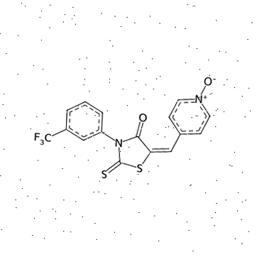 O=C1/C(=C\c2cc[n+]([O-])cc2)SC(=S)N1c1cccc(C(F)(F)F)c1